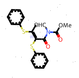 COC(=O)N(C=O)C(=O)/C(Sc1ccccc1)=C(\C)Sc1ccccc1